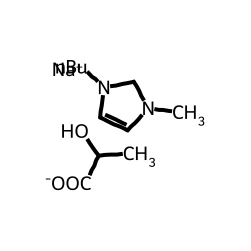 CC(O)C(=O)[O-].CCCCN1C=CN(C)C1.[Na+]